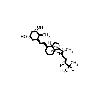 C=C1/C(=C\C=C2/CCC[C@]3(C)[C@@H]([C@H](C)CC[C@H](F)C(C)(C)O)CC[C@@H]23)C[C@H](O)C[C@H]1O